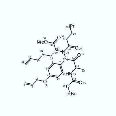 C=CCOc1ccc(N(C(=O)C(C)NC(=O)OC(C)(C)C)N(C(=O)CCC(C)C)[C@H](CSCC=C)C(=O)OC)cc1